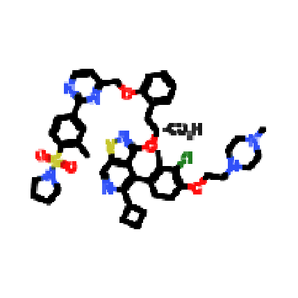 CC1=C(c2c(C3CCC3)ncc3snc(O[C@H](Cc4ccccc4OCc4ccnc(-c5ccc(S(=O)(=O)N6CCCC6)c(C)c5)n4)C(=O)O)c23)CCC(OCCN2CCN(C)CC2)=C1Cl